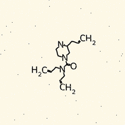 C=CCC1CN(C(=O)N(CC=C)CC=C)CC[N]1